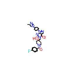 Cc1cn(-c2ccc(-n3ncc4c(=O)n(CC5(O)CCN(C(=O)c6ccc(F)cc6)CC5)cnc43)cc2)cn1